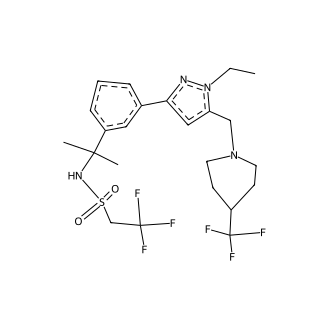 CCn1nc(-c2cccc(C(C)(C)NS(=O)(=O)CC(F)(F)F)c2)cc1CN1CCC(C(F)(F)F)CC1